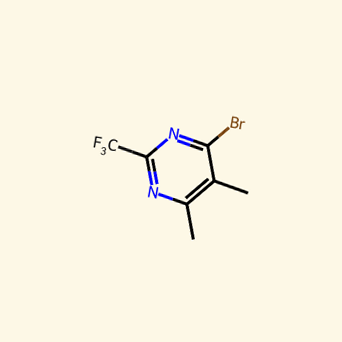 Cc1nc(C(F)(F)F)nc(Br)c1C